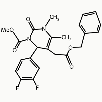 COC(=O)N1C(=O)N(C)C(C)=C(CC(=O)OCc2ccccc2)C1c1ccc(F)c(F)c1